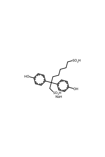 O=S(=O)(O)CCCCCC(CS(=O)(=O)O)(c1ccc(O)cc1)c1ccc(O)cc1.[NaH]